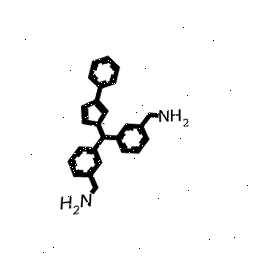 NCc1cccc(C([C]2C=CC(c3ccccc3)=C2)c2cccc(CN)c2)c1